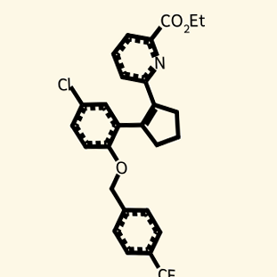 CCOC(=O)c1cccc(C2=C(c3cc(Cl)ccc3OCc3ccc(C(F)(F)F)cc3)CCC2)n1